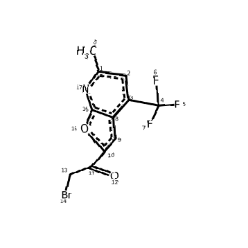 Cc1cc(C(F)(F)F)c2cc(C(=O)CBr)oc2n1